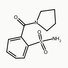 NS(=O)(=O)c1ccccc1C(=O)N1CCCC1